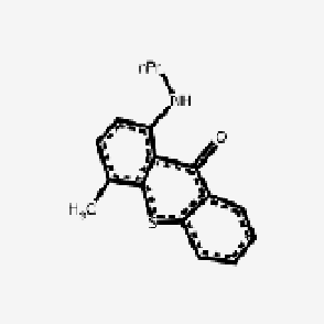 CCCNc1ccc(C)c2sc3ccccc3c(=O)c12